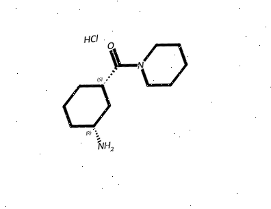 Cl.N[C@@H]1CCC[C@H](C(=O)N2CCCCC2)C1